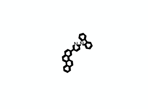 c1ccc2c(c1)ccc1c3cc(-c4ccc(-n5c6ccccc6c6ccccc65)nc4)ccc3ccc21